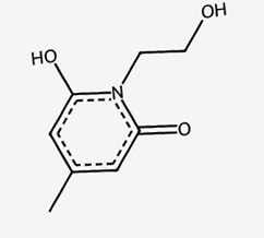 Cc1cc(O)n(CCO)c(=O)c1